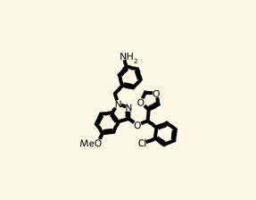 COc1ccc2c(c1)c(OC(C1=COCO1)c1ccccc1Cl)nn2Cc1cccc(N)c1